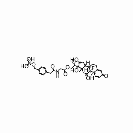 C[C@]12C=CC(=O)C=C1CC[C@H]1[C@@H]3C[C@@H](O)[C@](O)(C(=O)COC(=O)CNC(=O)Cc4ccc(CON(O)O)cc4)[C@@]3(C)C[C@H](O)[C@@]12F